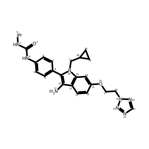 CC(C)NC(=O)Nc1ccc(-c2c(N)c3ccc(OCCn4ncnn4)cc3n2CC2CC2)cc1